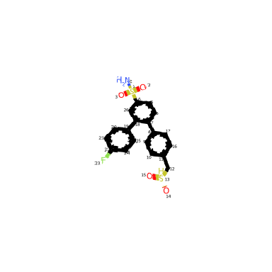 NS(=O)(=O)c1ccc(-c2ccc(C[SH](=O)=O)cc2)c(-c2ccc(F)cc2)c1